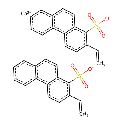 C=Cc1ccc2c(ccc3ccccc32)c1S(=O)(=O)[O-].C=Cc1ccc2c(ccc3ccccc32)c1S(=O)(=O)[O-].[Ca+2]